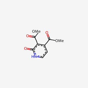 COC(=O)c1cc[nH]c(=O)c1C(=O)OC